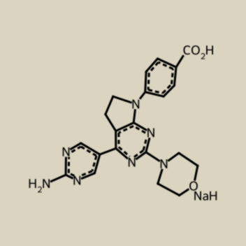 Nc1ncc(-c2nc(N3CCOCC3)nc3c2CCN3c2ccc(C(=O)O)cc2)cn1.[NaH]